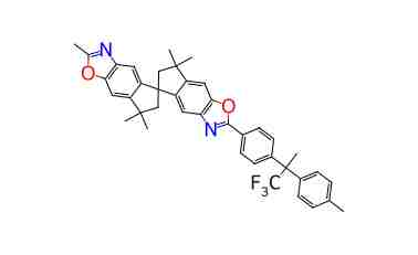 Cc1ccc(C(C)(c2ccc(-c3nc4cc5c(cc4o3)C(C)(C)CC53CC(C)(C)c4cc5oc(C)nc5cc43)cc2)C(F)(F)F)cc1